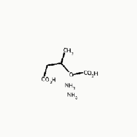 CC(CC(=O)O)OC(=O)O.N.N